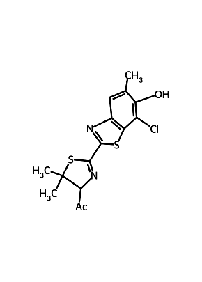 CC(=O)C1N=C(c2nc3cc(C)c(O)c(Cl)c3s2)SC1(C)C